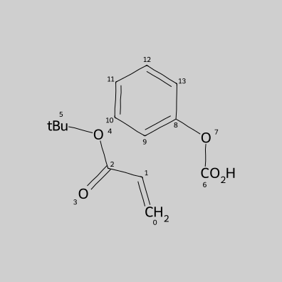 C=CC(=O)OC(C)(C)C.O=C(O)Oc1ccccc1